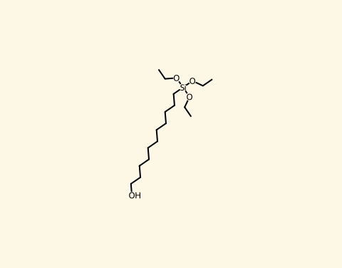 CCO[Si](CCCCCCCCCCCO)(OCC)OCC